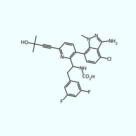 Cn1nc(N)c2c(Cl)ccc(-c3ccc(C#CC(C)(C)O)nc3C(Cc3cc(F)cc(F)c3)NC(=O)O)c21